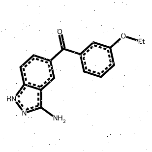 CCOc1cccc(C(=O)c2ccc3[nH]nc(N)c3c2)c1